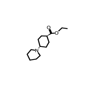 CCOC(=O)[C@H]1CC[C@H](N2CCCCC2)CC1